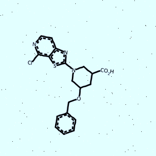 O=C(O)C1CC(OCc2ccccc2)CN(c2nc3ccnc(Cl)c3s2)C1